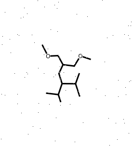 COCC(COC)CC(C(C)C)C(C)C